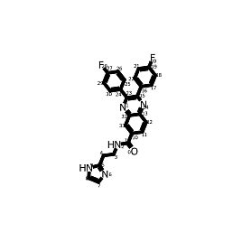 O=C(NCCc1ncc[nH]1)c1ccc2nc(-c3ccc(F)cc3)c(-c3ccc(F)cc3)nc2c1